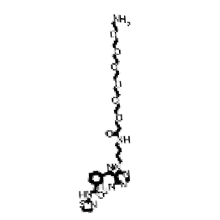 NCCOCCOCCOCCOCCOCCOCCC(=O)NCCCCn1nc(-c2cccc(C(=O)NC3=NCCS3)c2)c2c(N)ncnc21